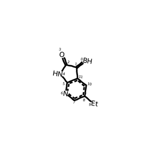 B=C1C(=O)Nc2ncc(CC)cc21